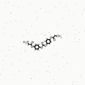 C=CC(=O)Oc1ccc(OC(=O)Oc2ccc(OC(=O)C=C)cc2)cc1